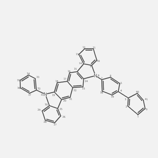 c1ccc(-c2ccc(-n3c4ccccc4c4cc5cc6c(cc5cc43)c3ccccc3n6-c3ccccc3)cc2)cc1